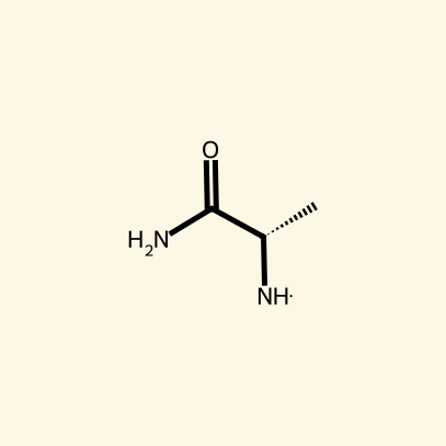 C[C@H]([NH])C(N)=O